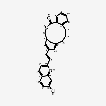 O=C1OCC2C=C(/C=C/c3ccc4ccc(Cl)cc4n3)C=C(CCCc3ccccc31)C2